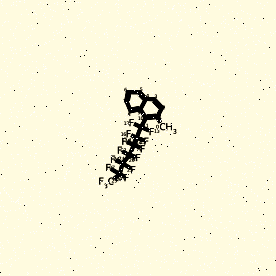 Cc1ccc2ccccc2c1C(F)(F)C(F)(F)C(F)(F)C(F)(F)C(F)(F)C(F)(F)C(F)(F)F